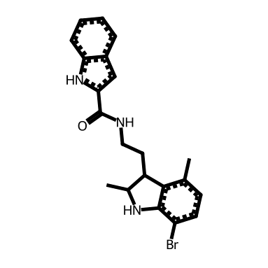 Cc1ccc(Br)c2c1C(CCNC(=O)c1cc3ccccc3[nH]1)C(C)N2